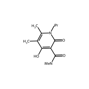 CNC(=O)c1c(O)c(C)c(C)n(C(C)C)c1=O